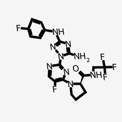 Nc1nc(Nc2ccc(F)cc2)nn1-c1ncc(F)c(N2CCC[C@@H]2C(=O)NCC(F)(F)F)n1